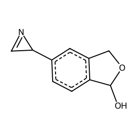 OC1OCc2cc(C3C=N3)ccc21